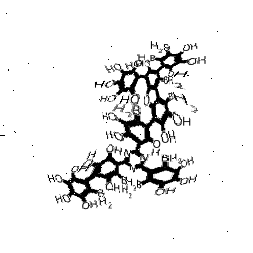 Bc1c(B)c(-c2c(O)c(-c3c(O)c(O)c(O)c(O)c3O)c3oc4c(-c5c(B)c(O)c(O)c(-c6nc(-c7c(B)c(O)c(O)c(O)c7B)nc(-c7c(B)c(O)c(-c8c(B)c(O)c(O)c(O)c8O)c(O)c7O)n6)c5O)c(O)c(O)c(B)c4c3c2B)c(O)c(O)c1O